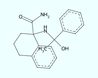 CC(O)(NC1(C(N)=O)CCCc2ccccc21)c1ccccc1